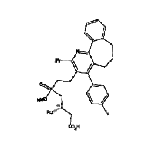 COP(=O)(CCc1c(C(C)C)nc2c(c1-c1ccc(F)cc1)CCCc1ccccc1-2)C[C@@H](O)CC(=O)O